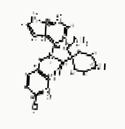 NCC1(C(=O)N(Cc2ccc(Cl)nc2)c2ncnc3[nH]ccc23)CCNCC1